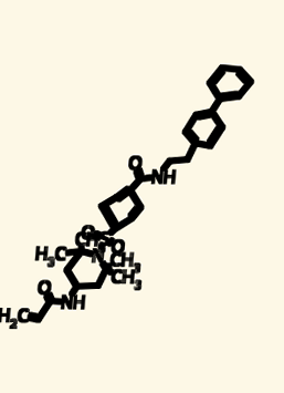 C=CC(=O)NC1CC(C)(C)N(S(=O)(=O)c2ccc(C(=O)NCCc3ccc(-c4ccccc4)cc3)cc2)C(C)(C)C1